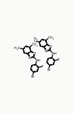 Cc1cc(C)c2oc(Nc3ccc(Br)cc3F)nc2c1.Cc1cc(C)c2oc(Nc3ccc(Br)cc3F)nc2c1